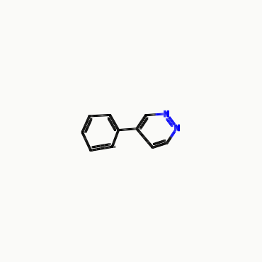 [c]1ccccc1-c1ccnnc1